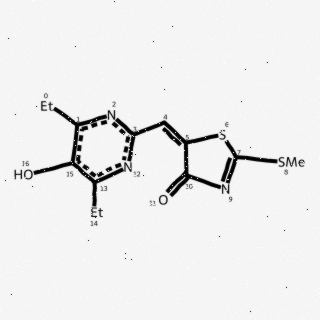 CCc1nc(C=C2SC(SC)=NC2=O)nc(CC)c1O